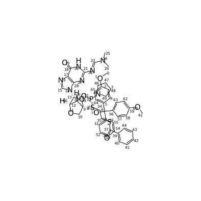 COc1ccc(C(OC[C@@]23CO[C@@H]([C@H](n4cnc5c(=O)[nH]c(/N=C/N(C)C)nc54)O2)[C@@H]3OP(SCCSC(=O)c2ccccc2)N2CCCC2)(c2ccccc2)c2ccc(OC)cc2)cc1